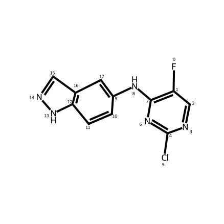 Fc1cnc(Cl)nc1Nc1ccc2[nH]ncc2c1